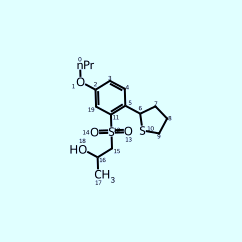 CCCOc1ccc(C2CCCS2)c(S(=O)(=O)CC(C)O)c1